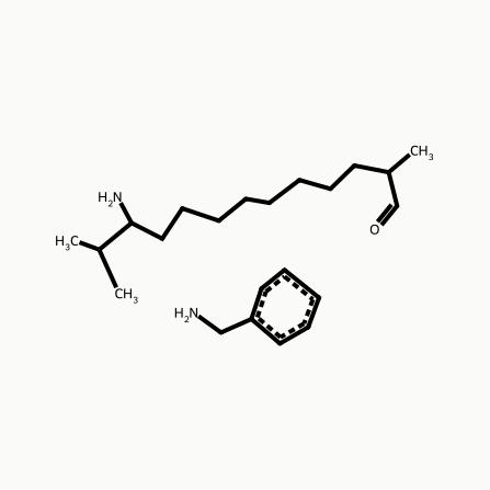 CC(C=O)CCCCCCCCC(N)C(C)C.NCc1ccccc1